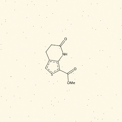 COC(=O)c1scc2c1NC(=O)CC2